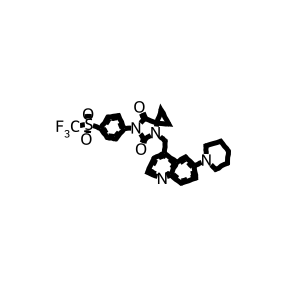 O=C1N(c2ccc(S(=O)(=O)C(F)(F)F)cc2)C(=O)C2(CC2)N1Cc1ccnc2ccc(N3CCCCC3)cc12